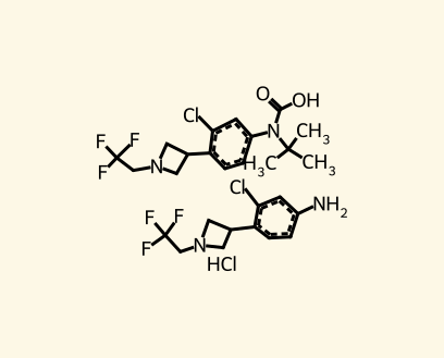 CC(C)(C)N(C(=O)O)c1ccc(C2CN(CC(F)(F)F)C2)c(Cl)c1.Cl.Nc1ccc(C2CN(CC(F)(F)F)C2)c(Cl)c1